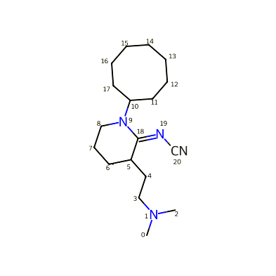 CN(C)CCC1[CH]CCN(C2CCCCCCC2)C1=NC#N